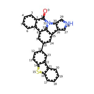 O=c1c2ccccc2c2cc(-c3ccc4sc5ccccc5c4c3)cc3c4c[nH]cc4n1c23